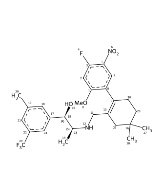 COc1cc(F)c([N+](=O)[O-])cc1C1=C(CN[C@@H](C)[C@H](O)c2cc(C)cc(C(F)(F)F)c2)CC(C)(C)CC1